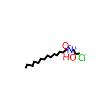 CCCCCCCCCCCCCC(=O)[N+](C)(C)CC(O)CCl